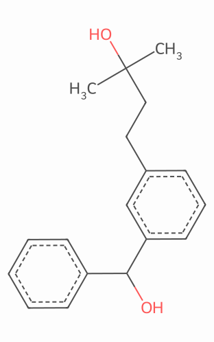 CC(C)(O)CCc1cccc(C(O)c2ccccc2)c1